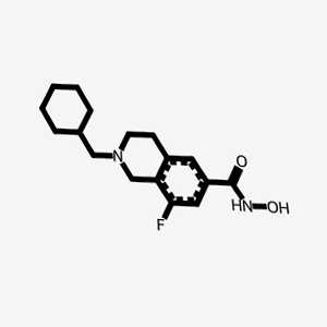 O=C(NO)c1cc(F)c2c(c1)CCN(CC1CCCCC1)C2